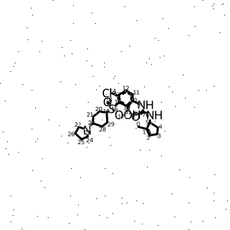 CC1=CCCC1NC(=O)Nc1ccc(Cl)c(S(=O)(=O)C2CCC(N3CCCC3)CC2)c1O